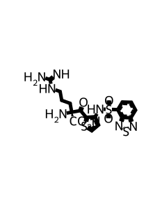 N=C(N)NCCC[C@](N)(C(=O)O)C(=O)c1sccc1NS(=O)(=O)c1cccc2nsnc12